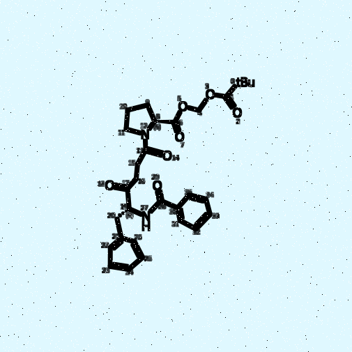 CC(C)(C)C(=O)OCOC(=O)[C@@H]1CCCN1C(=O)CCC(=O)[C@@H](Cc1ccccc1)NC(=O)c1ccccc1